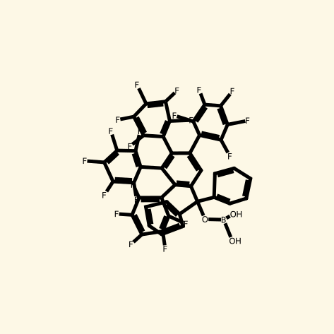 OB(O)OC(c1ccccc1)(c1ccccc1)c1cc(-c2c(F)c(F)c(F)c(F)c2F)c(-c2c(F)c(F)c(F)c(F)c2F)c(-c2c(F)c(F)c(F)c(F)c2F)c1-c1c(F)c(F)c(F)c(F)c1F